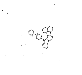 c1ccc(-c2ccc(-n3c4ccccc4c4ccc5c(c43)-c3cccc4cccc-5c34)cn2)nc1